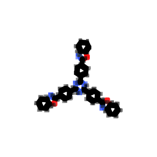 c1ccc2oc(-c3ccc(-c4nc(-c5ccc(-c6nc7ccccc7o6)cc5)nc(-c5ccc(-c6nc7ccccc7o6)cc5)n4)cc3)nc2c1